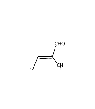 C/C=C(\C#N)C=O